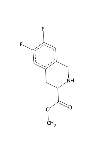 COC(=O)C1Cc2cc(F)c(F)cc2CN1